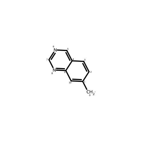 [CH2]c1ccc2cncnc2c1